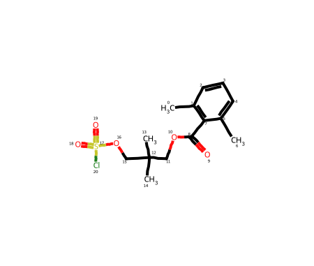 Cc1cccc(C)c1C(=O)OCC(C)(C)COS(=O)(=O)Cl